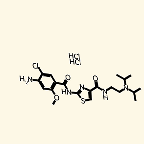 COc1cc(N)c(Cl)cc1C(=O)Nc1nc(C(=O)NCCN(C(C)C)C(C)C)cs1.Cl.Cl